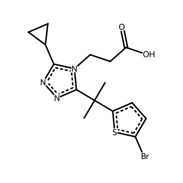 CC(C)(c1ccc(Br)s1)c1nnc(C2CC2)n1CCC(=O)O